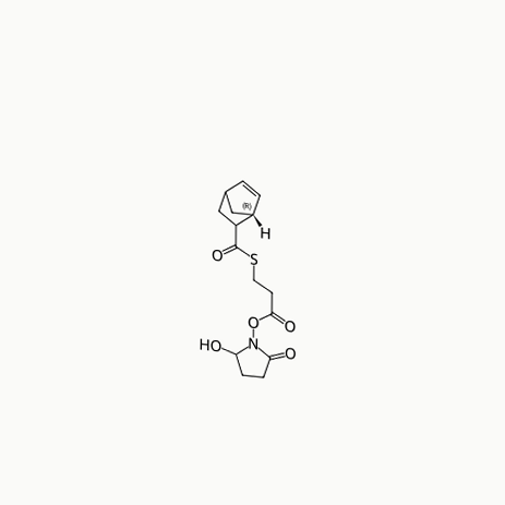 O=C(CCSC(=O)C1CC2C=C[C@H]1C2)ON1C(=O)CCC1O